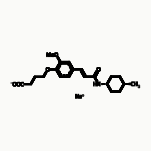 COc1cc(C=CC(=O)N[C@H]2CC[C@H](C)CC2)ccc1OCCCC(=O)[O-].[Na+]